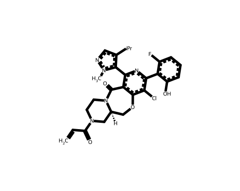 C=CC(=O)N1CCN2C(=O)c3c(-c4c(C(C)C)cnn4C)nc(-c4c(O)cccc4F)c(Cl)c3OC[C@H]2C1